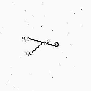 CCCCCCCCC(CCCCCCCC)COC(=O)CCCc1ccccc1